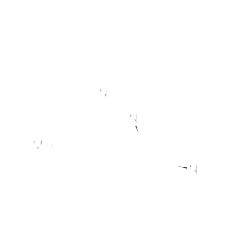 COc1cc(N[C@@H]2CCC[C@H](N)C2)nc2ccccc12